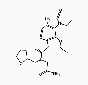 CCOc1c(CC(=O)N(CC(N)=O)CC2CCCO2)ccc2[nH]c(=O)n(CC)c12